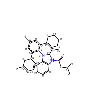 C=C(CC(C)C)N1C2=C(CCC=C2)N(c2c(C3=CCCCC3)cc(C)cc2C2C=CC=C(C)C2)C1CC